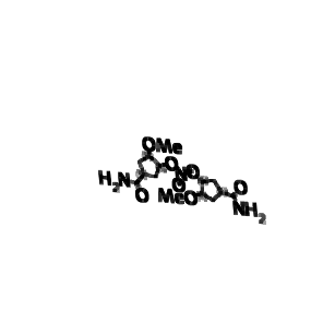 CO[C@@H]1C[C@H](C(N)=O)C[C@@H]1O[N+](=O)O[C@H]1C[C@@H](C(N)=O)C[C@H]1OC